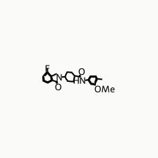 COc1cc(NC(=O)C2CCC(N3Cc4c(F)cccc4C3=O)CC2)ccc1C